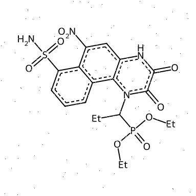 CCOP(=O)(OCC)C(CC)n1c(=O)c(=O)[nH]c2cc([N+](=O)[O-])c3c(S(N)(=O)=O)cccc3c21